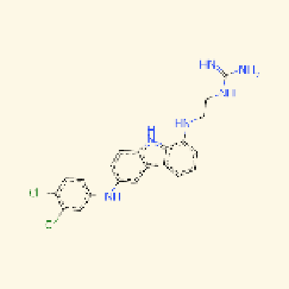 N=C(N)NCCNc1cccc2c1[nH]c1ccc(Nc3ccc(Cl)c(Cl)c3)cc12